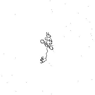 CCN(Cc1ccncc1)C(=O)[C@@H](COC(=O)CCCCC1CCSS1)c1ccccc1